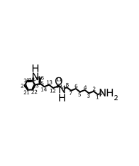 NCCCCCCCCNC(=O)CCCc1c[nH]c2ccccc12